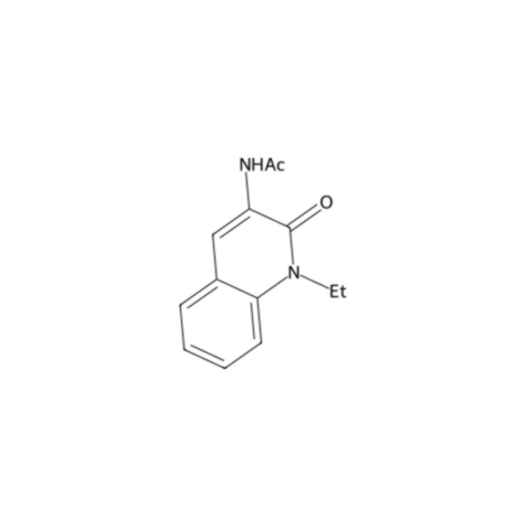 CCn1c(=O)c(NC(C)=O)cc2ccccc21